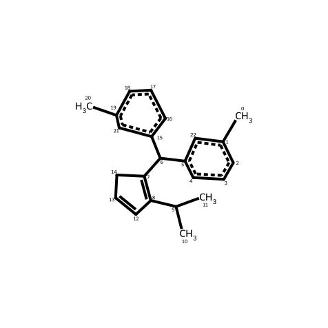 Cc1cccc(C(C2=C(C(C)C)C=CC2)c2cccc(C)c2)c1